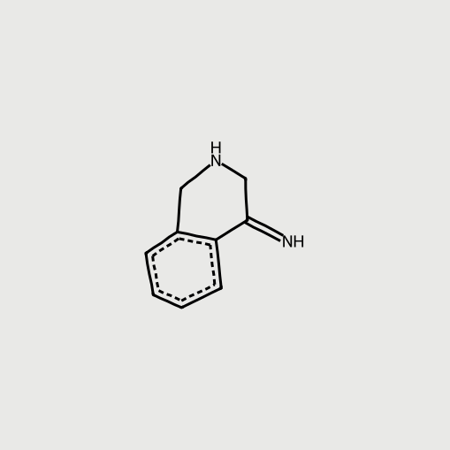 N=C1CNCc2ccccc21